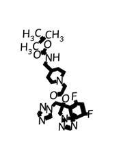 CC(C)(C)OC(=O)NCC1CCN(CC(=O)OC(Cn2cncn2)(Cn2cncn2)c2ccc(F)cc2F)CC1